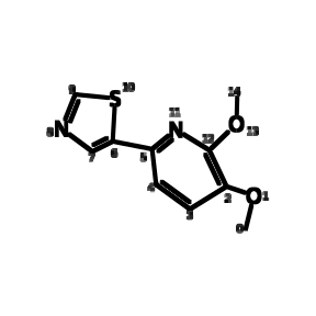 COc1ccc(-c2cncs2)nc1OC